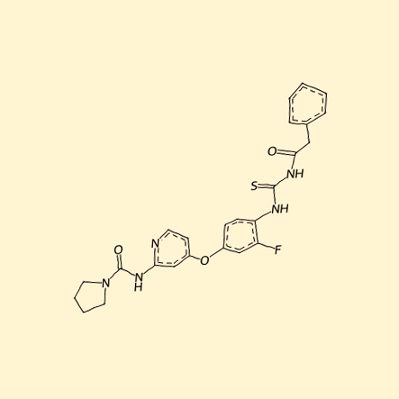 O=C(Cc1ccccc1)NC(=S)Nc1ccc(Oc2ccnc(NC(=O)N3CCCC3)c2)cc1F